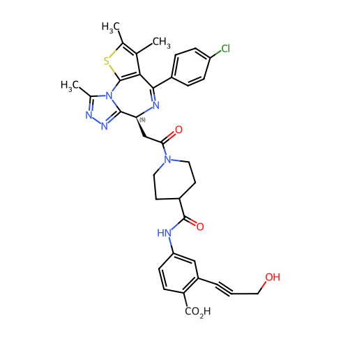 Cc1sc2c(c1C)C(c1ccc(Cl)cc1)=N[C@@H](CC(=O)N1CCC(C(=O)Nc3ccc(C(=O)O)c(C#CCO)c3)CC1)c1nnc(C)n1-2